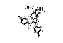 CC1(C)c2nc(-c3ccc(F)cc3)c(Nc3ccc(F)cc3)n2CCN1[C@H](N)C=O